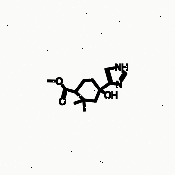 COC(=O)C1CCC(O)(c2c[nH]cn2)CC1(C)C